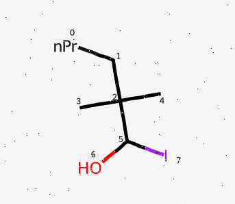 CCCCC(C)(C)C(O)I